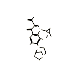 COc1c(N2CCN3CCC2C3)c(F)cc2c(=O)c(C(=O)O)cn(C3CC3F)c12